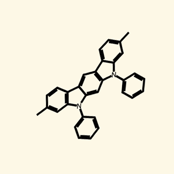 Cc1ccc2c3cc4c5ccc(C)cc5n(-c5ccccc5)c4cc3n(-c3ccccc3)c2c1